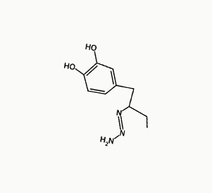 CCC(Cc1ccc(O)c(O)c1)N=NN